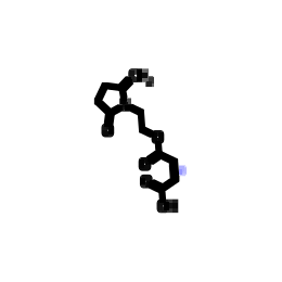 C=C1CCC(=O)N1CCOC(=O)/C=C\C(=O)O